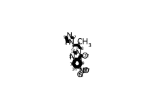 CC(Cn1ccnc1)Cn1cnc2ccc([N+](=O)[O-])cc2c1=O